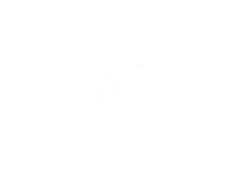 CCCCP(=O)(O)O.O=C(O)O.O=C(O)O